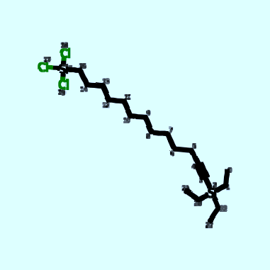 CC[Si](C#CCCCCCCCCCCC[Si](Cl)(Cl)Cl)(CC)CC